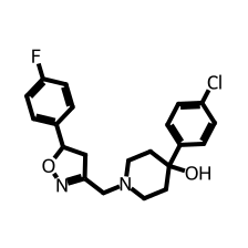 OC1(c2ccc(Cl)cc2)CCN(CC2=NOC(c3ccc(F)cc3)C2)CC1